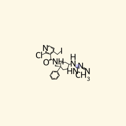 CN/C(=N\C#N)N[C@H]1CC[C@](CNC(=O)c2c(CI)ccnc2Cl)(c2ccccc2)CC1